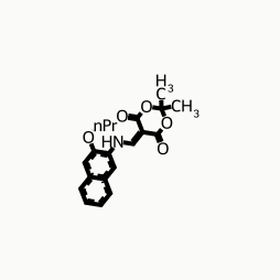 CCCOc1cc2ccccc2cc1NC=C1C(=O)OC(C)(C)OC1=O